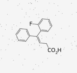 O=C(O)C/C=C(/c1ccccc1)c1ccccc1F